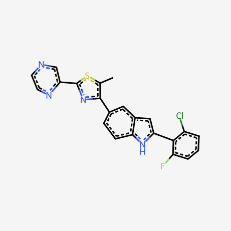 Cc1sc(-c2cnccn2)nc1-c1ccc2[nH]c(-c3c(F)cccc3Cl)cc2c1